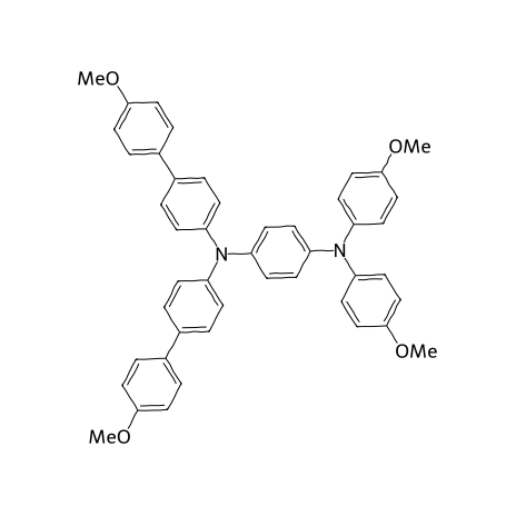 COc1ccc(-c2ccc(N(c3ccc(-c4ccc(OC)cc4)cc3)c3ccc(N(c4ccc(OC)cc4)c4ccc(OC)cc4)cc3)cc2)cc1